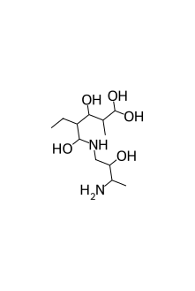 CCC(C(O)NCC(O)C(C)N)C(O)C(C)C(O)O